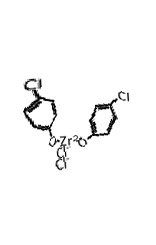 Clc1ccc([O][Zr+2][O]c2ccc(Cl)cc2)cc1.[Cl-].[Cl-]